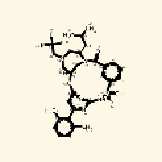 Cc1cccc(C)c1-c1cc2nc(n1)NS(=O)(=O)c1cccc(c1)C(=O)N1C[C@@H](CN(CC(F)(F)F)C[C@H]1CC(C)C)O2